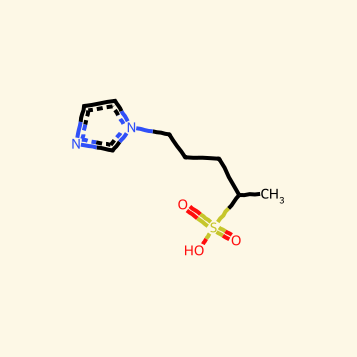 CC(CCCn1ccnc1)S(=O)(=O)O